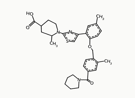 Cc1ccc(OCc2ccc(C(=O)N3CCCCC3)cc2C)c(-c2csc(N3CCC(C(=O)O)CC3C)n2)c1